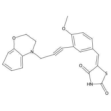 COc1ccc(C=C2SC(=O)NC2=O)cc1C#CCN1CCOc2ccccc21